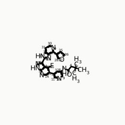 CC(C)(C)CC(=O)Nc1cncc(-c2cnc3[nH]nc(-c4nc5c(-c6ccoc6)nccc5[nH]4)c3c2F)c1